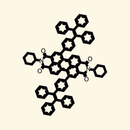 O=C1c2ccc3c4c(-c5ccc(C(=C(c6ccccc6)c6ccccc6)c6ccccc6)cc5)cc5c6c(ccc(c7c(-c8ccc(C(=C(c9ccccc9)c9ccccc9)c9ccccc9)cc8)cc(c2c37)C(=O)N1C1CCCCC1)c64)C(=O)N(C1CCCCC1)C5=O